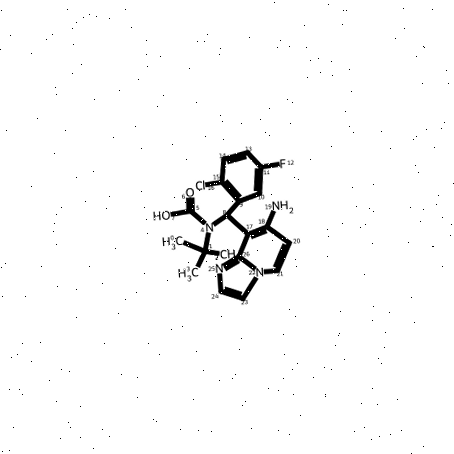 CC(C)(C)N(C(=O)O)C(c1cc(F)ccc1Cl)c1c(N)ccn2ccnc12